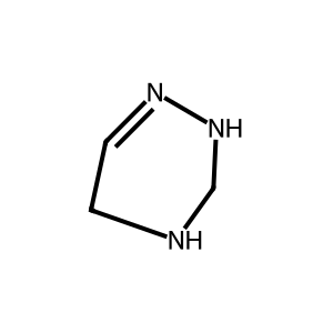 C1=NNCNC1